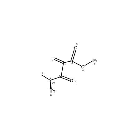 C=C(C(=O)OC(C)C)C(=O)[C@H](C)C(C)C